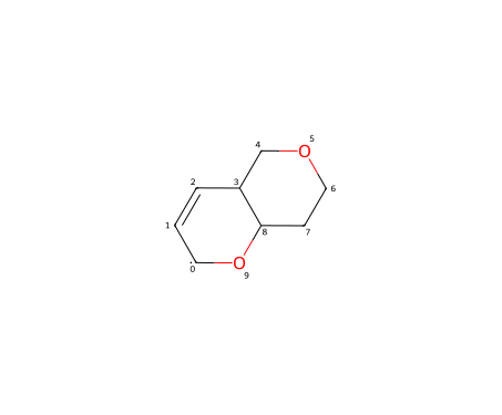 [CH]1C=CC2COCCC2O1